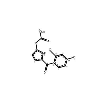 COC(=O)Cc1ccc(C(=O)c2ccc(Cl)cc2Cl)[nH]1